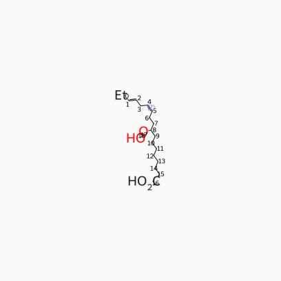 CCC=CC/C=C\CCC(CCCCCCCC(=O)O)OO